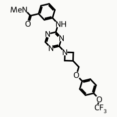 CNC(=O)c1cccc(Nc2ncnc(N3CC(COc4ccc(OC(F)(F)F)cc4)C3)n2)c1